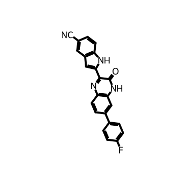 N#Cc1ccc2[nH]c(-c3nc4ccc(-c5ccc(F)cc5)cc4[nH]c3=O)cc2c1